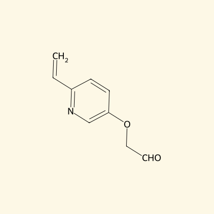 C=Cc1ccc(OCC=O)cn1